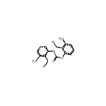 O=C(Oc1cccc([N+](=O)[O-])c1CCl)Oc1cccc([N+](=O)[O-])c1CCl